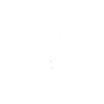 [N-]=[N+]=C1CC=CC(Cl)=C1F